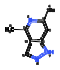 Cc1nc(C(C)(C)C)cc2[nH]ncc12